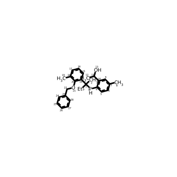 CCC(C)(Pc1ccc(C)cc1C(C)O)c1cccc(C)c1OCc1ccccc1